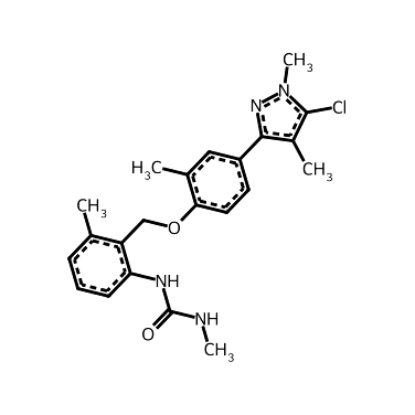 CNC(=O)Nc1cccc(C)c1COc1ccc(-c2nn(C)c(Cl)c2C)cc1C